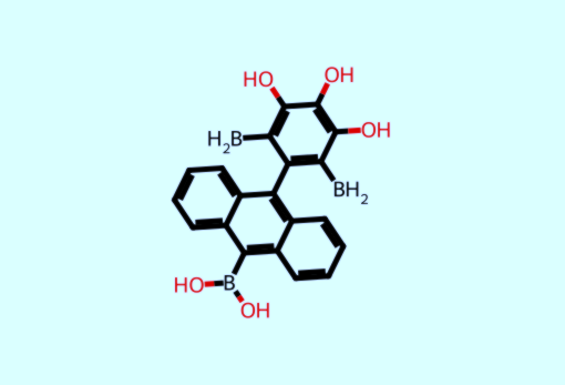 Bc1c(O)c(O)c(O)c(B)c1-c1c2ccccc2c(B(O)O)c2ccccc12